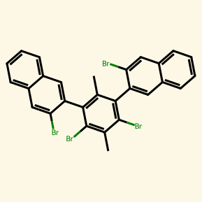 Cc1c(Br)c(-c2cc3ccccc3cc2Br)c(C)c(-c2cc3ccccc3cc2Br)c1Br